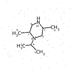 CC1CN(C(C)C)C(C)CN1